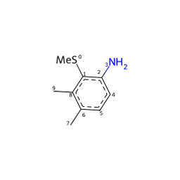 CSc1c(N)ccc(C)c1C